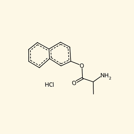 CC(N)C(=O)Oc1ccc2ccccc2c1.Cl